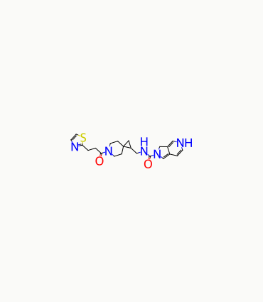 O=C(NCC1CC12CCN(C(=O)CCc1nccs1)CC2)N1C=C2C=CNC=C2C1